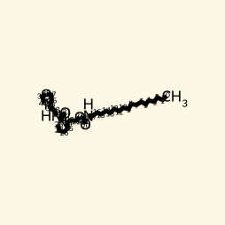 CCCCCCCCCCCCCCCCCCNC(=O)OCCC1CCCCN1C(=O)NCCN1CCOCC1